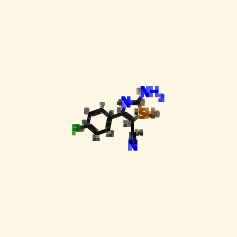 C[SH]1C(N)=NC(c2ccc(F)cc2)=C1C#N